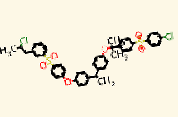 C=C(c1ccc(Oc2ccc(S(=O)(=O)c3cccc(CC(C)Cl)c3)cc2)cc1)c1ccc(OC(C)(C)c2ccc(S(=O)(=O)c3ccc(Cl)cc3)cc2)cc1